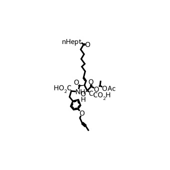 CC#CCOc1ccc(C[C@H](NC(=O)[C@@H](/C=C/CCCCCCC(=O)CCCCCCC)[C@@](O)(CC(=O)O)C(=O)OC(C)OC(C)=O)C(=O)O)cc1